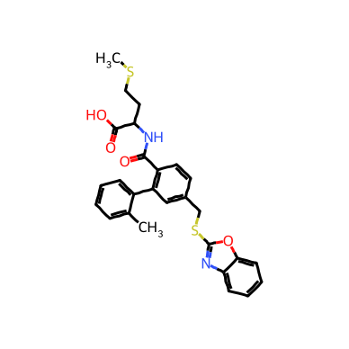 CSCCC(NC(=O)c1ccc(CSc2nc3ccccc3o2)cc1-c1ccccc1C)C(=O)O